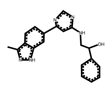 Cc1n[nH]c2cc(-c3cc(NCC(O)c4ccccc4)ncn3)ccc12